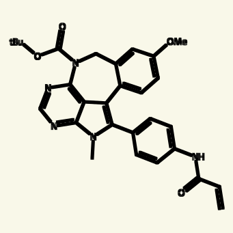 C=CC(=O)Nc1ccc(-c2c3c4c(ncnc4n2C)N(C(=O)OC(C)(C)C)Cc2cc(OC)ccc2-3)cc1